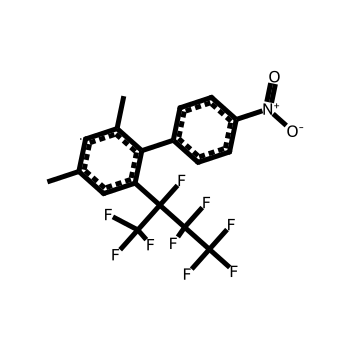 Cc1[c]c(C)c(-c2ccc([N+](=O)[O-])cc2)c(C(F)(C(F)(F)F)C(F)(F)C(F)(F)F)c1